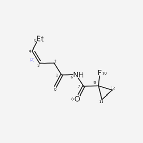 C=C(C/C=C\CC)NC(=O)C1(F)CC1